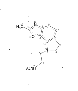 CC(=O)NCC[C@H]1CCc2ccc3nc(C)oc3c21